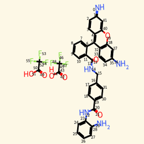 N=c1ccc2c(-c3ccccc3C(=O)NCc3ccc(C(=O)Nc4ccccc4N)cc3)c3ccc(N)cc3oc-2c1.O=C(O)C(F)(F)F.O=C(O)C(F)(F)F